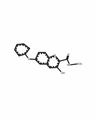 CC(=O)ONC(=O)c1nc2ccc(Oc3ccccc3)cc2cc1O